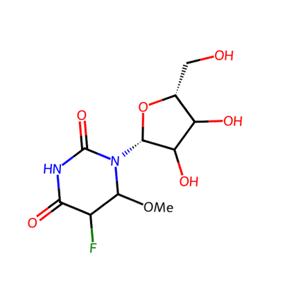 COC1C(F)C(=O)NC(=O)N1[C@@H]1O[C@H](CO)C(O)C1O